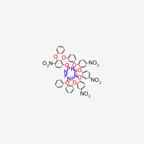 O=[N+]([O-])c1ccc(On2p(Oc3ccc([N+](=O)[O-])c(Oc4ccccc4)c3Oc3ccccc3)npn(Oc3ccccc3)p(Oc3ccccc3)n(Oc3ccc([N+](=O)[O-])cc3)p2Oc2ccc([N+](=O)[O-])cc2)cc1